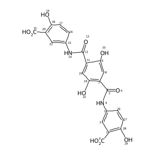 O=C(O)c1cc(NC(=O)c2cc(O)c(C(=O)Nc3ccc(O)c(C(=O)O)c3)cc2O)ccc1O